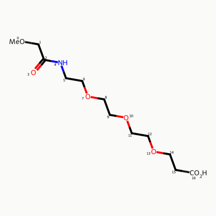 COCC(=O)NCCOCCOCCOCCC(=O)O